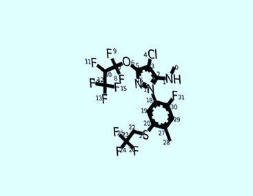 CNc1c(Cl)c(OC(F)(F)C(F)C(F)(F)F)nn1-c1cc(SCC(F)(F)F)c(C)cc1F